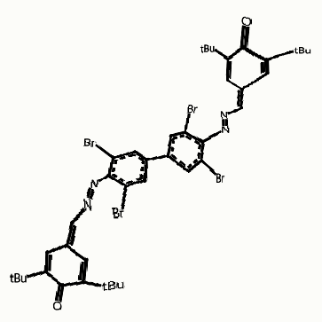 CC(C)(C)C1=CC(=C/N=N/c2c(Br)cc(-c3cc(Br)c(/N=N/C=C4C=C(C(C)(C)C)C(=O)C(C(C)(C)C)=C4)c(Br)c3)cc2Br)C=C(C(C)(C)C)C1=O